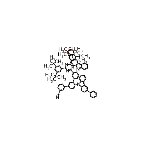 CC(C)(C)c1cc(-c2nc(-c3cc(C(C)(C)C)cc(C(C)(C)C)c3)nc(-c3cc(-c4cc(-c5cccc(C#N)c5)ccc4-n4c5ccccc5c5cc(-c6ccccc6)ccc54)ccc3-n3c4ccccc4c4cc(-c5ccccc5)ccc43)n2)cc(C(C)(C)C)c1